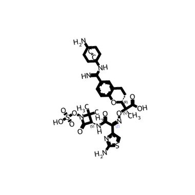 CC1(C)[C@H](NC(=O)/C(=N\O[C@](C)(C(=O)O)[C@H]2CCc3cc(C(=N)NC45CCC(N)(CC4)CC5)ccc3O2)c2csc(N)n2)C(=O)N1OS(=O)(=O)O